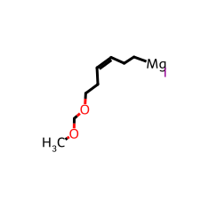 COCOCC/C=C\C[CH2][Mg][I]